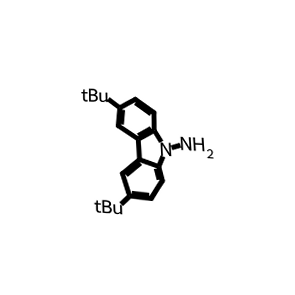 CC(C)(C)c1ccc2c(c1)c1cc(C(C)(C)C)ccc1n2N